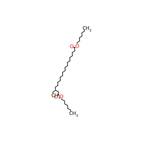 CCCCCCCOC(=O)CCCCCCCCCCCCCCCCC(CC)CC(=O)OCCCCCCC